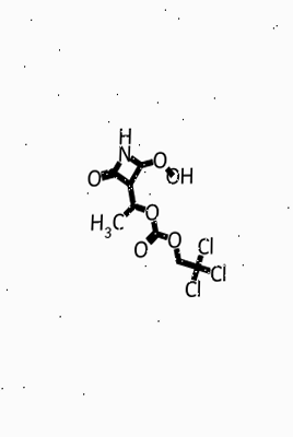 CC(OC(=O)OCC(Cl)(Cl)Cl)C1C(=O)NC1OO